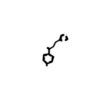 Cc1ccc(C(=O)CCc2c[nH]cn2)cc1